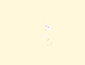 OC(c1cc(C(F)(F)F)n[nH]1)N(Cc1ccccc1F)CC1CCOCC1